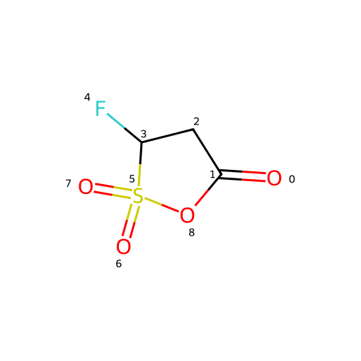 O=C1CC(F)S(=O)(=O)O1